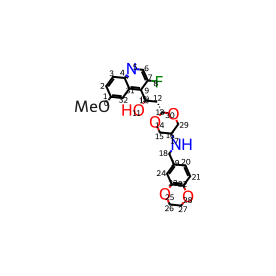 COc1ccc2ncc(F)c([C@@H](O)C[C@H]3OC[C@H](NCc4ccc5c(c4)OCCO5)CO3)c2c1